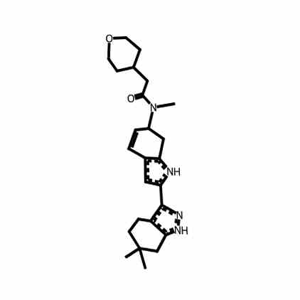 CN(C(=O)CC1CCOCC1)C1C=Cc2cc(-c3n[nH]c4c3CCC(C)(C)C4)[nH]c2C1